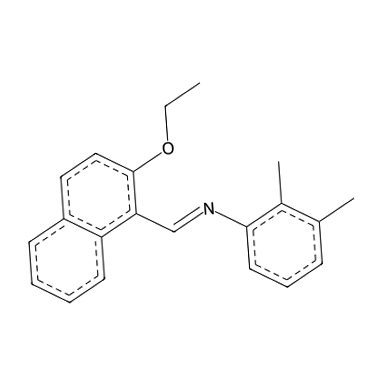 CCOc1ccc2ccccc2c1/C=N/c1cccc(C)c1C